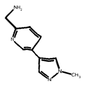 Cn1cc(-c2ccc(CN)nc2)cn1